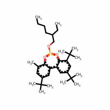 CCCCC(CC)COp1oc2c(C)cc(C(C)(C)C)cc2c2cc(C(C)(C)C)cc(C(C)(C)C)c2o1